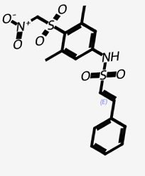 Cc1cc(NS(=O)(=O)/C=C/c2ccccc2)cc(C)c1S(=O)(=O)C[N+](=O)[O-]